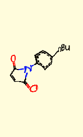 CCCCc1ccc(N2C(=O)C=CC2=O)cc1